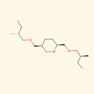 CC[C@@H](C)COC[C@H]1CC[C@@H](COC[C@@H](C)CC)OC1